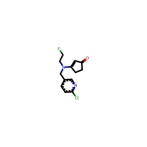 O=C1C=C(N(CCF)Cc2ccc(Cl)nc2)CC1